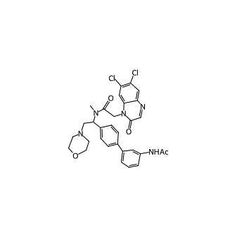 CC(=O)Nc1cccc(-c2ccc(C(CN3CCOCC3)N(C)C(=O)Cn3c(=O)cnc4cc(Cl)c(Cl)cc43)cc2)c1